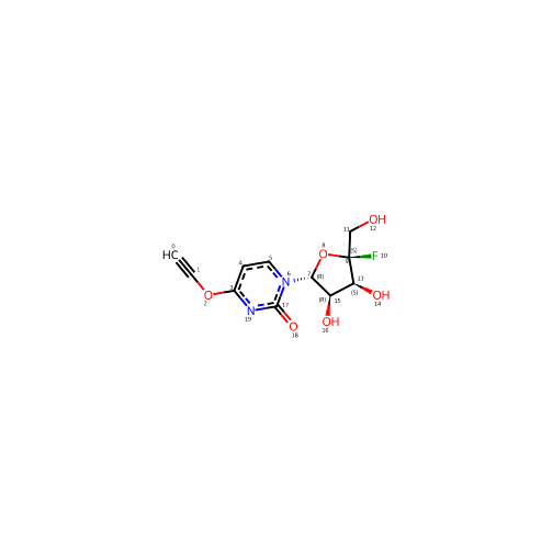 C#COc1ccn([C@@H]2O[C@](F)(CO)[C@@H](O)[C@H]2O)c(=O)n1